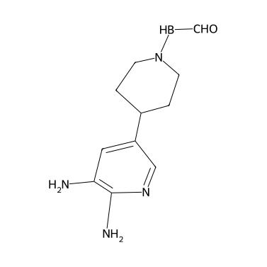 Nc1cc(C2CCN(BC=O)CC2)cnc1N